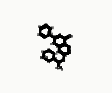 CC(Oc1ccc2c(=O)cc(-c3ccccc3)oc2c1)C1CCCNC1